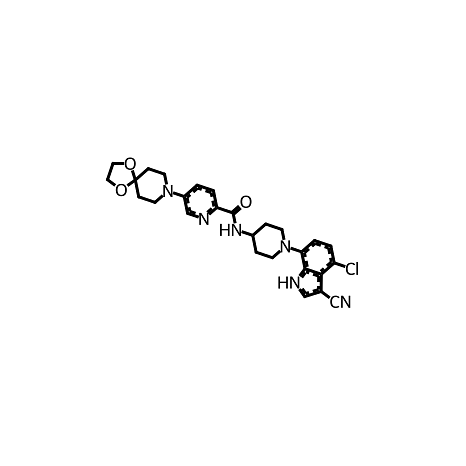 N#Cc1c[nH]c2c(N3CCC(NC(=O)c4ccc(N5CCC6(CC5)OCCO6)cn4)CC3)ccc(Cl)c12